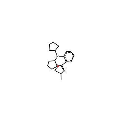 CC1COC(c2ccccc2P(C2CCCC2)C2CCCC2)=N1